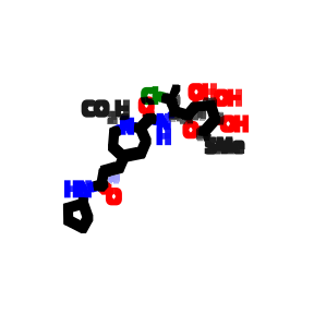 CS[C@H]1O[C@H]([C@H](NC(=O)C2CC=C(/C=C/C(=O)NC3CCCC3)CCN2C(=O)O)[C@H](C)Cl)[C@H](O)[C@H](O)[C@H]1O